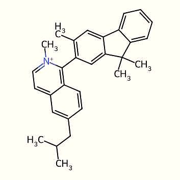 Cc1cc2c(cc1-c1c3ccc(CC(C)C)cc3cc[n+]1C)C(C)(C)c1ccccc1-2